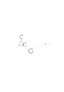 Nc1nc(-c2ccco2)c2cnn(Cc3cccc(OCCCCCC(=O)NO)c3)c2n1